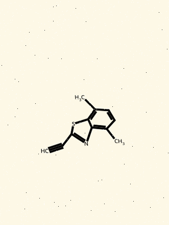 C#Cc1nc2c(C)ccc(C)c2s1